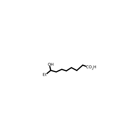 CCC(O)CCCCCCC(=O)O